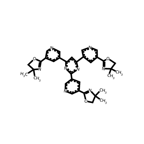 CC1(C)COC(c2cncc(-c3cc(-c4cncc(C5=NC(C)(C)CO5)c4)nc(-c4cncc(C5=NC(C)(C)CO5)c4)n3)c2)=N1